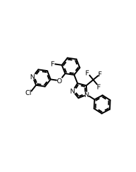 Fc1cccc(-c2ncn(-c3ccccc3)c2C(F)(F)F)c1Oc1ccnc(Cl)c1